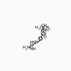 CC(C)(C)c1cn2cc(-c3ccc(CNCCCNC(=N)N)cc3)c(=O)nc2[nH]1